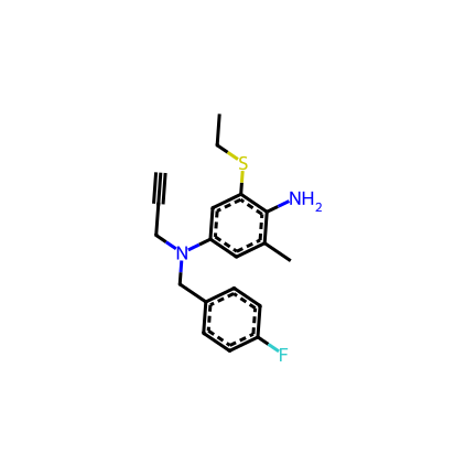 C#CCN(Cc1ccc(F)cc1)c1cc(C)c(N)c(SCC)c1